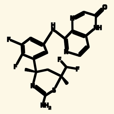 C[C@]1(C(F)F)C[C@@](C)(c2cc(Nc3nccc4[nH]c(=O)cnc34)cc(F)c2F)N=C(N)S1